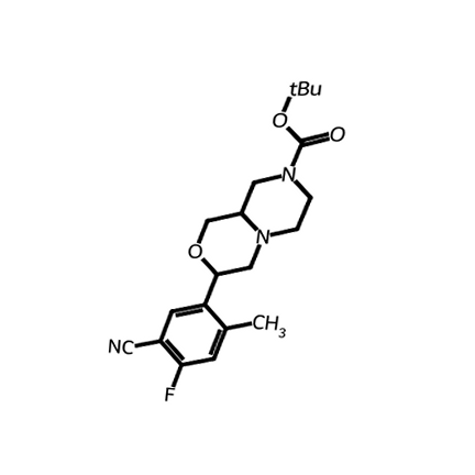 Cc1cc(F)c(C#N)cc1C1CN2CCN(C(=O)OC(C)(C)C)CC2CO1